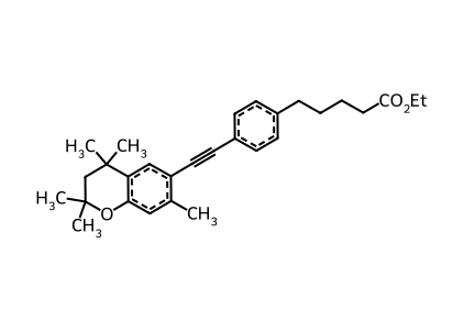 CCOC(=O)CCCCc1ccc(C#Cc2cc3c(cc2C)OC(C)(C)CC3(C)C)cc1